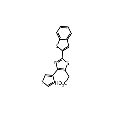 O=C(O)Cc1sc(-c2cc3ccccc3s2)nc1-c1ccsc1